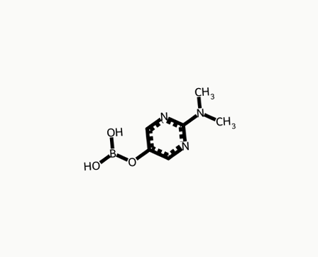 CN(C)c1ncc(OB(O)O)cn1